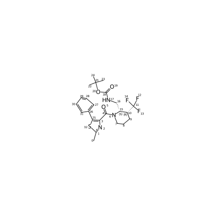 Cc1nc(C(=O)N2CCC[C@@H](C(F)(F)F)[C@H]2CNC(=O)OC(C)(C)C)c(-c2ccccc2)s1